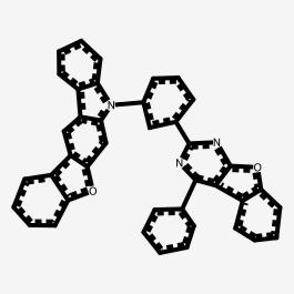 c1ccc(-c2nc(-c3cccc(-n4c5ccccc5c5cc6c(cc54)oc4ccccc46)c3)nc3oc4ccccc4c23)cc1